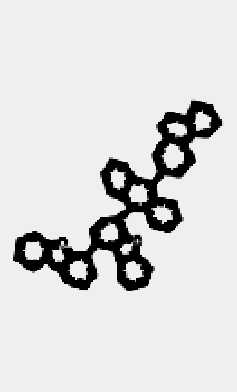 c1ccc2c(c1)ccc1cc(-c3c4ccccc4c(-c4ccc(-c5cccc6c5oc5ccccc56)c5c4oc4ccccc45)c4ccccc34)ccc12